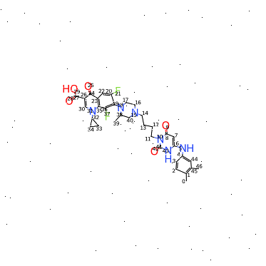 Cc1ccc(Nc2cc(=O)n(CCCCN3CCN(c4c(F)cc5c(=O)c(C(=O)O)cn(C6CC6)c5c4F)C(C)C3)c(=O)[nH]2)cc1C